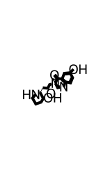 O=C(C[C@H]1NCCC[C@@H]1O)Cn1cnc2ccc(O)cc2c1=O